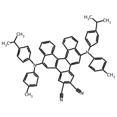 Cc1ccc(N(c2ccc(C(C)C)cc2)c2cc3c4cc(C#N)c(C#N)cc4c4cc(N(c5ccc(C)cc5)c5ccc(C(C)C)cc5)c5ccccc5c4c3c3ccccc23)cc1